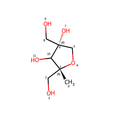 C[C@]1(CO)OC[C@](O)(CO)C1O